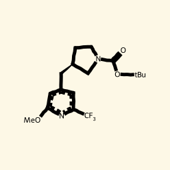 COc1cc(C[C@H]2CCN(C(=O)OC(C)(C)C)C2)cc(C(F)(F)F)n1